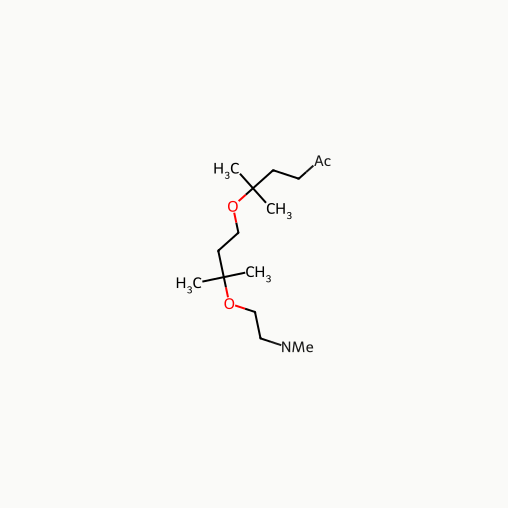 CNCCOC(C)(C)CCOC(C)(C)CCC(C)=O